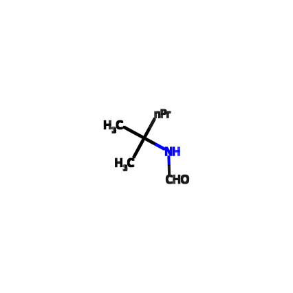 CCCC(C)(C)NC=O